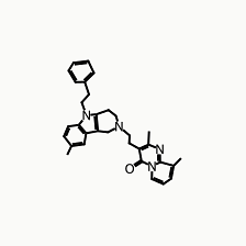 Cc1ccc2c(c1)c1c(n2CCc2ccccc2)CCN(CCc2c(C)nc3c(C)cccn3c2=O)C1